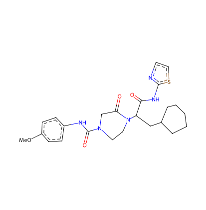 COc1ccc(NC(=O)N2CCN(C(CC3CCCCC3)C(=O)Nc3nccs3)C(=O)C2)cc1